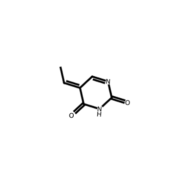 CC=C1C=NC(=O)NC1=O